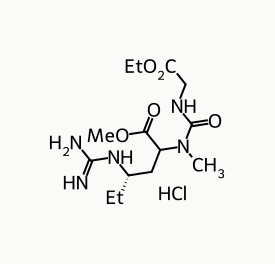 CCOC(=O)CNC(=O)N(C)C(C[C@H](CC)NC(=N)N)C(=O)OC.Cl